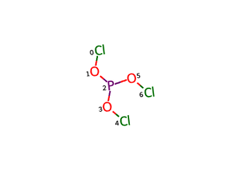 ClOP(OCl)OCl